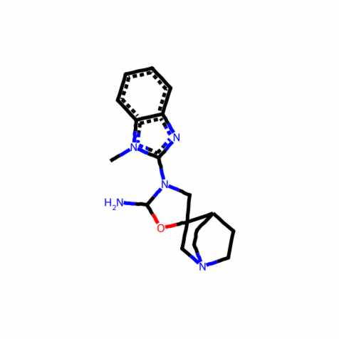 Cn1c(N2CC3(CN4CCC3CC4)OC2N)nc2ccccc21